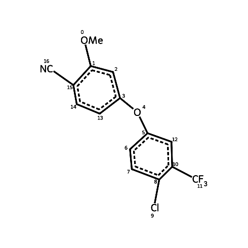 COc1cc(Oc2ccc(Cl)c(C(F)(F)F)c2)ccc1C#N